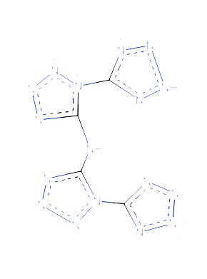 n1nc(Nc2nnnn2-c2nn[nH]n2)n(-c2nn[nH]n2)n1